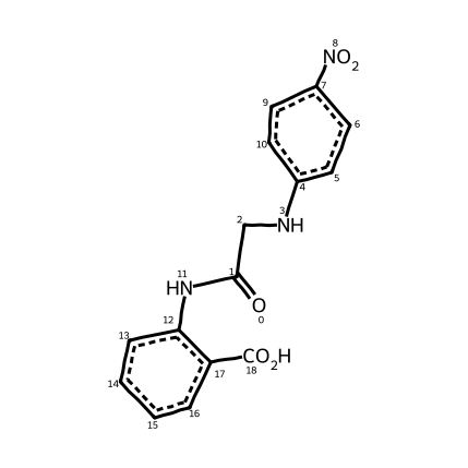 O=C(CNc1ccc([N+](=O)[O-])cc1)Nc1ccccc1C(=O)O